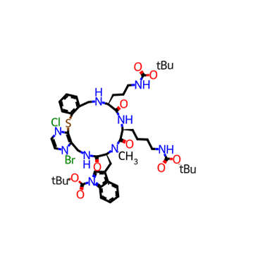 CN1C(=O)[C@H](CCCCNC(=O)OC(C)(C)C)NC(=O)[C@H](CCCNC(=O)OC(C)(C)C)NCc2ccccc2SC2=C(CNC(=O)[C@@H]1Cc1cn(C(=O)OC(C)(C)C)c3ccccc13)N(Br)C=CN2Cl